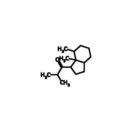 CC(C)C(=O)C1CCC2CCCC(C)C21C